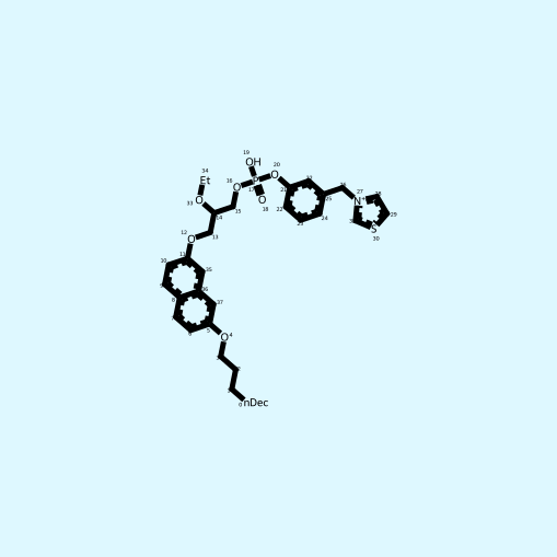 CCCCCCCCCCCCCOc1ccc2ccc(OCC(COP(=O)(O)Oc3cccc(C[n+]4ccsc4)c3)OCC)cc2c1